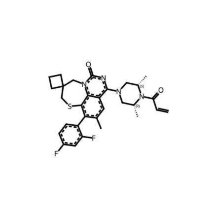 C=CC(=O)N1[C@H](C)CN(c2nc(=O)n3c4c(c(-c5ccc(F)cc5F)c(C)cc24)SCC2(CCC2)C3)C[C@@H]1C